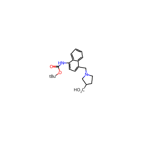 CC(C)(C)OC(=O)Nc1ccc(CN2CCC(C(=O)O)C2)c2ccccc12